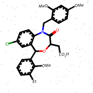 CCc1cccc(C2OC(CC(=O)O)C(=O)N(Cc3ccc(OC)cc3OC)c3ccc(Cl)cc32)c1OC